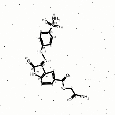 NC(=O)COC(=O)c1ccc2c(c1)C(=NNc1ccc(S(N)(=O)=O)cc1)C(=O)N2